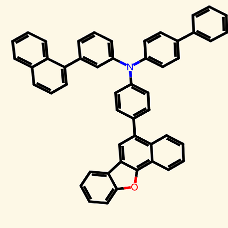 c1ccc(-c2ccc(N(c3ccc(-c4cc5c6ccccc6oc5c5ccccc45)cc3)c3cccc(-c4cccc5ccccc45)c3)cc2)cc1